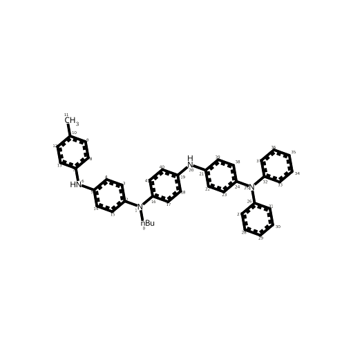 CCCCN(c1ccc(Nc2ccc(C)cc2)cc1)c1ccc(Nc2ccc(N(c3ccccc3)c3ccccc3)cc2)cc1